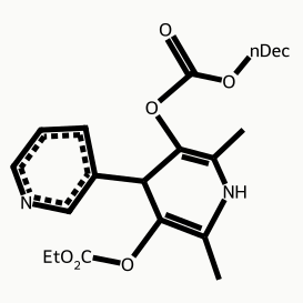 CCCCCCCCCCOC(=O)OC1=C(C)NC(C)=C(OC(=O)OCC)C1c1cccnc1